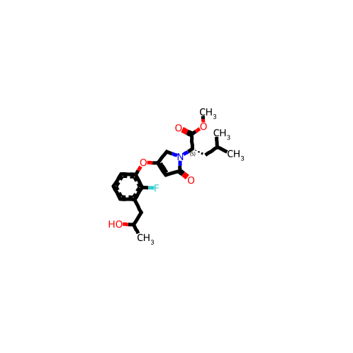 COC(=O)[C@H](CC(C)C)N1CC(Oc2cccc(CC(C)O)c2F)=CC1=O